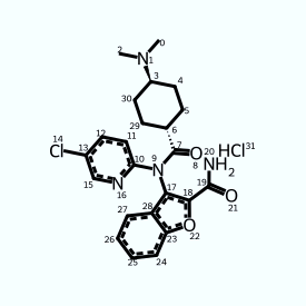 CN(C)[C@H]1CC[C@H](C(=O)N(c2ccc(Cl)cn2)c2c(C(N)=O)oc3ccccc23)CC1.Cl